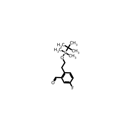 CC(C)(C)[Si](C)(C)OCCc1ccc(F)cc1C=O